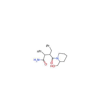 CCCC(C(N)=O)C(CC(C)C)C(=O)N1CCCCC1CO